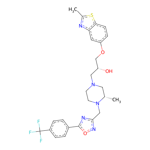 Cc1nc2cc(OC[C@H](O)CN3CCN(Cc4noc(-c5ccc(C(F)(F)F)cc5)n4)[C@@H](C)C3)ccc2s1